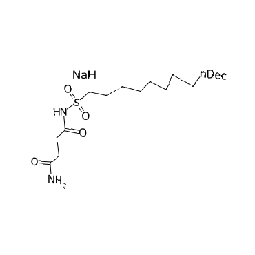 CCCCCCCCCCCCCCCCCCS(=O)(=O)NC(=O)CCC(N)=O.[NaH]